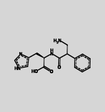 NCC(C(=O)N[C@H](Cc1c[nH]cn1)C(=O)O)c1ccccc1